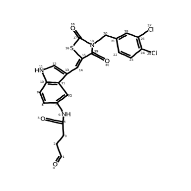 O=CCCC(=O)Nc1ccc2[nH]cc(C=C3SC(=O)N(Cc4ccc(Cl)c(Cl)c4)C3=O)c2c1